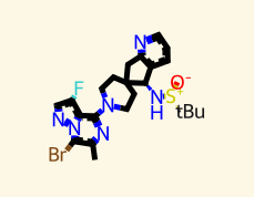 Cc1nc(N2CCC3(CC2)Cc2ncccc2[C@H]3N[S@+]([O-])C(C)(C)C)c2c(F)cnn2c1Br